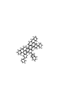 c1ccc(-c2ccc(N3c4cc(-c5nc6ccccc6o5)cc5c4B(c4ccc6cc7ccccc7cc6c43)c3ccc4cc6ccccc6cc4c3N5c3ccc(-c4ccccc4)cc3)cc2)cc1